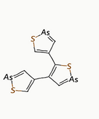 C1=[As]SC=C1C1=C(C2=CS[As]=C2)S[As]=C1